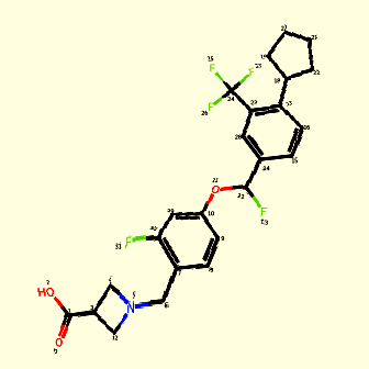 O=C(O)C1CN(Cc2ccc(OC(F)c3ccc(C4CCCC4)c(C(F)(F)F)c3)cc2F)C1